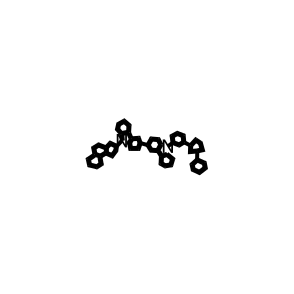 c1ccc(-c2cccc(-c3cccc(-n4c5ccccc5c5cc(-c6ccc7c(c6)c6ccccc6n7-c6ccc7c(ccc8ccccc87)c6)ccc54)c3)c2)cc1